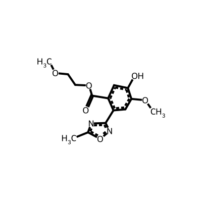 COCCOC(=O)c1cc(O)c(OC)cc1-c1noc(C)n1